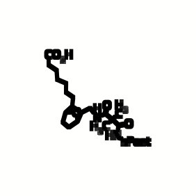 CCCCCNC(=O)C(C)(C)C(=O)NCC1C2CCC(O2)C1CCCCCCC(=O)O